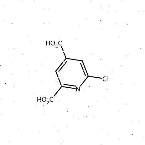 O=C(O)c1cc(Cl)nc(C(=O)O)c1